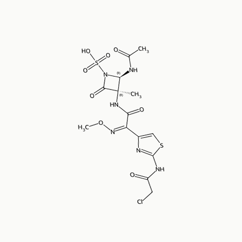 CON=C(C(=O)N[C@@]1(C)C(=O)N(S(=O)(=O)O)[C@H]1NC(C)=O)c1csc(NC(=O)CCl)n1